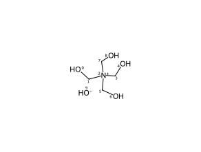 OC[N+](CO)(CO)CO.[OH-]